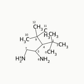 CC(C)(C)C(C(N)CN)C(C)(C)C